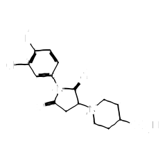 O=C(O)C1CCN(C2CC(=O)N(c3ccc(F)c(Cl)c3)C2=O)CC1